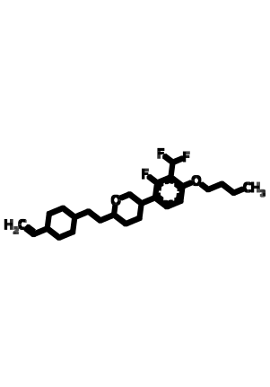 C=CC1CCC(CCC2CCC(c3ccc(OCCCC)c(C(F)F)c3F)CO2)CC1